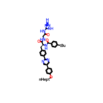 CCCCCCCOc1ccc(-c2cnc(-c3ccc(C[C@H](NC(=O)c4ccc(C(C)(C)C)cc4)C(=O)NCC(=O)NC4Nn5[nH]n54)cc3)nc2)cc1